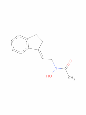 CC(=O)N(O)C/C=C1\CCc2ccccc21